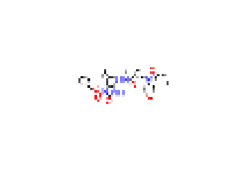 CC(C)[C@]1(C(=O)NCc2cc(C(F)(F)F)cc3c2[nH]c(=O)n3C(=O)OCc2ccccc2)CC[C@@H](N(C(=O)C(F)(F)F)C2CCOCC2)C1